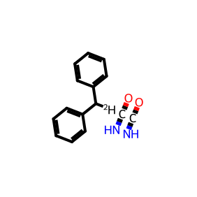 N=C=O.N=C=O.[2H]C(c1ccccc1)c1ccccc1